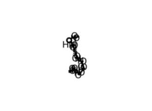 CCOC(=O)NCC1CCCCCCC(CNC(=O)OCCSSCCOC(=O)N2CCN(C(=O)CCC(=O)OC(C)(C)CCOC(C)(C)C(=O)N3CCN(P(=O)(O)OCC(C)(C)C)CC3)CC2)C1